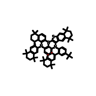 Cc1cc2c3c(c1)N(c1ccc(C(C)(C)C)cc1-c1ccc4c(c1)C(C)(C)CCC4(C)C)c1c(sc4cc5c(cc14)C(C)(C)CCC5(C)C)B3c1ccc3c4c1N2c1cc2c(cc1C4(C)CCC3(C)C)C(C)(C)CCC2(C)C